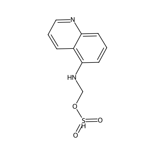 O=[SH](=O)OCNc1cccc2ncccc12